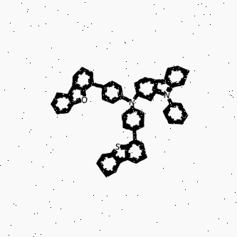 c1ccc(-n2c3ccccc3c3ccc(N(c4ccc(-c5cccc6c5oc5ccccc56)cc4)c4ccc(-c5cccc6c5sc5ccccc56)cc4)cc32)cc1